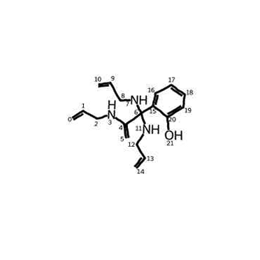 C=CCNC(=C)C(NCC=C)(NCC=C)c1ccccc1O